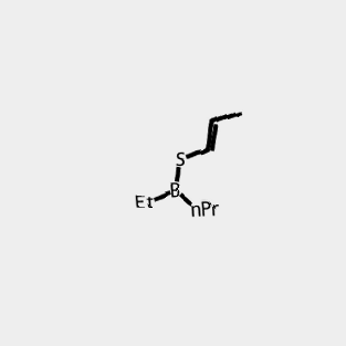 CC=CSB(CC)CCC